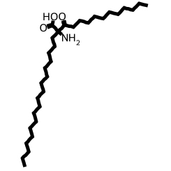 CCCCCCCCCCCCCCCCCCC(N)(C(=O)O)C(=O)CCCCCCCCCCC